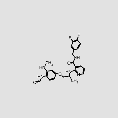 CNc1cc(OCC(C)Nc2ncccc2C(=O)NCc2ccc(F)c(F)c2)ccc1NC=O